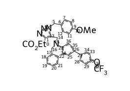 CCOC(=O)c1nnn(Cc2ccc(OC)cc2)c1CN(Cc1ccccc1)c1ccc(-c2ccc(OC(F)(F)F)cc2)cc1